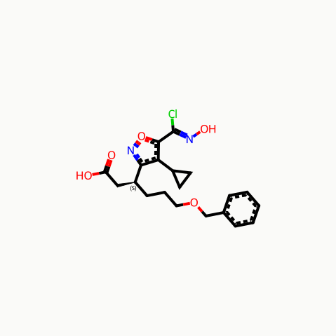 O=C(O)C[C@H](CCCOCc1ccccc1)c1noc(C(Cl)=NO)c1C1CC1